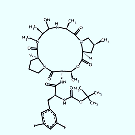 C[C@H]1C[C@H]2C(=O)O[C@@H](C)[C@H](NC(=O)[C@H](Cc3cc(F)cc(F)c3)NC(=O)OC(C)(C)C)C(=O)N3CCC[C@H]3C(=O)N(C)[C@@H](C)C(O)N[C@@H](C)C(=O)N2C1